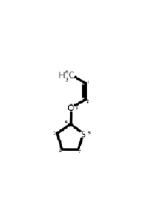 C/C=C\OC1CCCS1